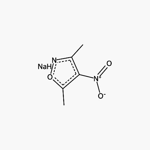 Cc1noc(C)c1[N+](=O)[O-].[NaH]